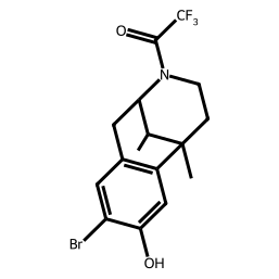 CC1C2Cc3cc(Br)c(O)cc3C1(C)CCN2C(=O)C(F)(F)F